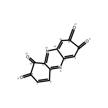 O=c1cc2nc3ccc(=O)c(=O)c3nc2cc1=O